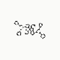 c1ccc(-c2cc(-c3cccc4c3-c3ncccc3C43c4cccnc4-c4c(-c5cc(-c6ccccc6)nc(-c6ccccc6)n5)cccc43)nc(-c3ccccc3)n2)cc1